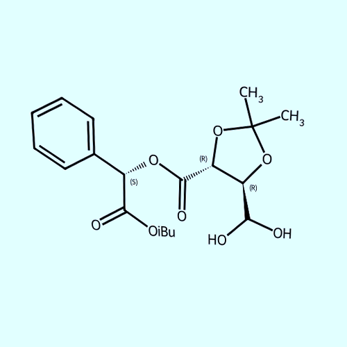 CC(C)COC(=O)[C@@H](OC(=O)[C@@H]1OC(C)(C)O[C@H]1C(O)O)c1ccccc1